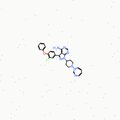 Nc1ncnc2c1c(-c1ccc(Oc3ccccc3)c(F)c1)nn2C1CCN(N2C=CC=CN=C2)CC1